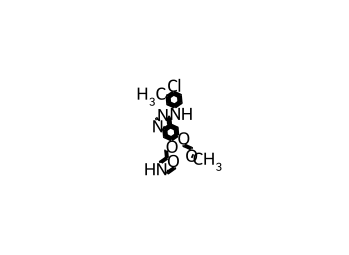 COCCOc1cc2c(Nc3ccc(Cl)c(C)c3)ncnc2cc1OCC1CNCCO1